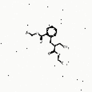 CCOC(=O)c1ccccc1CC(CC)C(=O)OCC